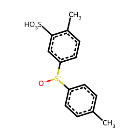 Cc1ccc([S+]([O-])c2ccc(C)c(S(=O)(=O)O)c2)cc1